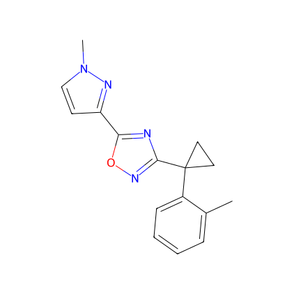 Cc1ccccc1C1(c2noc(-c3ccn(C)n3)n2)CC1